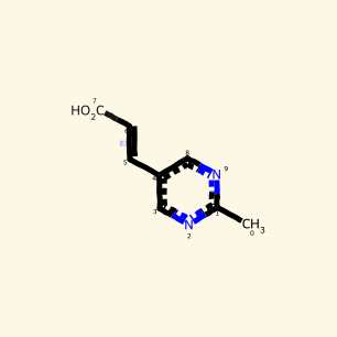 Cc1ncc(/C=C/C(=O)O)cn1